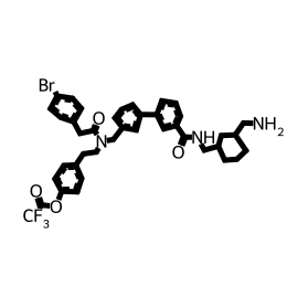 NCC1CCCC(CNC(=O)c2cccc(-c3cccc(CN(CCc4ccc(OC(=O)C(F)(F)F)cc4)C(=O)Cc4ccc(Br)cc4)c3)c2)C1